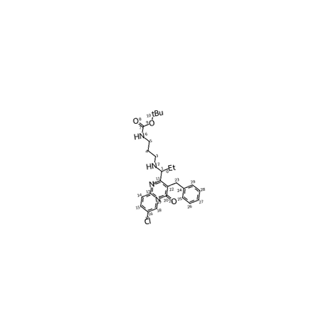 CCC(NCCCNC(=O)OC(C)(C)C)c1nc2ccc(Cl)cn2c(=O)c1Cc1ccccc1